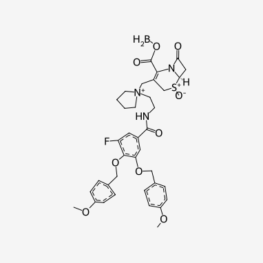 BOC(=O)C1=C(C[N+]2(CCNC(=O)c3cc(F)c(OCc4ccc(OC)cc4)c(OCc4ccc(OC)cc4)c3)CCCC2)C[S+]([O-])[C@@H]2CC(=O)N12